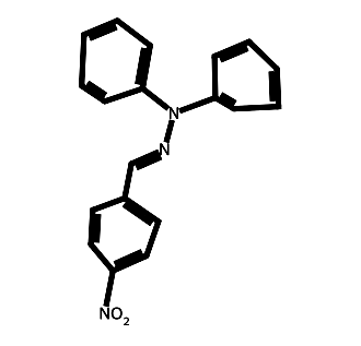 O=[N+]([O-])c1ccc(/C=N/N(c2ccccc2)c2ccccc2)cc1